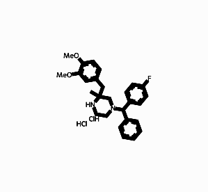 COc1ccc(CC2(C)CN(C(c3ccccc3)c3ccc(F)cc3)CCN2)cc1OC.Cl.Cl